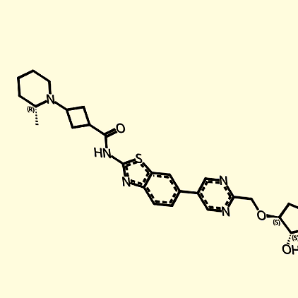 C[C@@H]1CCCCN1C1CC(C(=O)Nc2nc3ccc(-c4cnc(CO[C@H]5CCC[C@@H]5O)nc4)cc3s2)C1